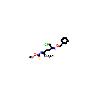 CCOC(=O)/C(CC/C(CCl)=N/OCc1ccccc1)=N\C(=O)OC(C)(C)C